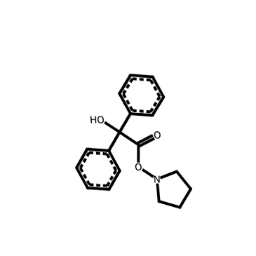 O=C(ON1CCCC1)C(O)(c1ccccc1)c1ccccc1